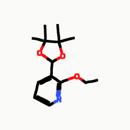 CCOc1ncccc1C1OC(C)(C)C(C)(C)O1